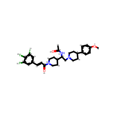 COc1ccc(C2CCN(CC(NC(C)=O)C3CCN(C(=O)C=Cc4cc(F)c(F)c(F)c4)CC3)CC2)cc1